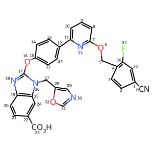 N#Cc1ccc(COc2cccc(-c3ccc(Oc4nc5ccc(C(=O)O)cc5n4Cc4cnco4)cc3)n2)c(F)c1